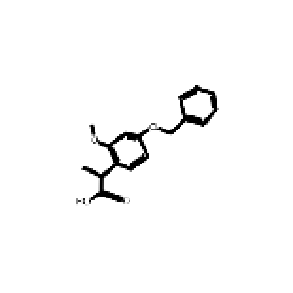 COc1cc(OCc2ccccc2)ccc1C(C)C(=O)O